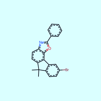 CC1(C)c2ccc(Br)cc2-c2c1ccc1nc(-c3ccccc3)oc21